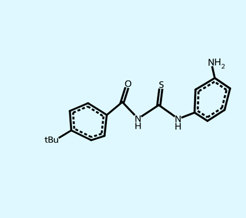 CC(C)(C)c1ccc(C(=O)NC(=S)Nc2cccc(N)c2)cc1